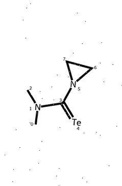 CN(C)C(=[Te])N1CC1